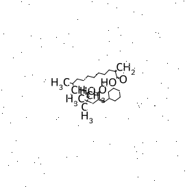 C=C(CCCCCCCC(C)C)C(=O)O.CC(C)(C)CC(=CC1CCCCC1)C(=O)O